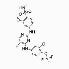 CNS(=O)(=O)c1ccc(Nc2ncc(F)c(Nc3ccc(OC(F)(F)F)c(Cl)c3)n2)cc1OC